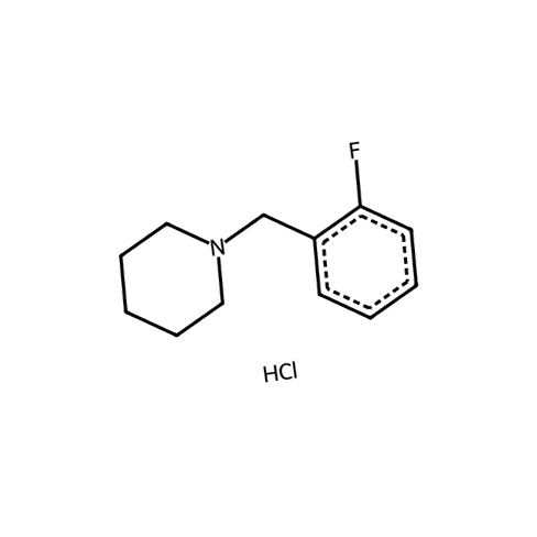 Cl.Fc1ccccc1CN1CCCCC1